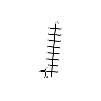 O=P(O)(O)C(F)(F)C(F)(F)C(F)(F)C(F)(F)C(F)(F)C(F)(F)C(F)(F)C(F)(F)C(F)(F)F